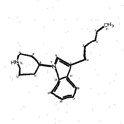 CCCCCc1cn(C2CCNCC2)c2ccccc12